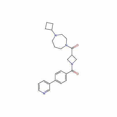 O=C(c1ccc(-c2cccnc2)cc1)N1CC(C(=O)N2CCCN(C3CCC3)CC2)C1